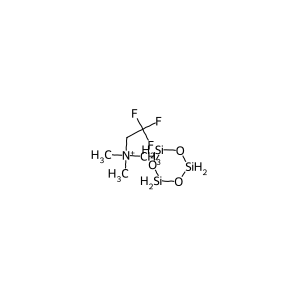 C[N+](C)(C)CC(F)(F)F.O1[SiH2]O[SiH2]O[SiH2]1